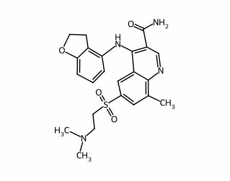 Cc1cc(S(=O)(=O)CCN(C)C)cc2c(Nc3cccc4c3CCO4)c(C(N)=O)cnc12